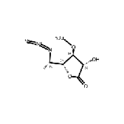 CCCCO[C@@H]1[C@@H]([C@H](C)N=[N+]=[N-])OC(=O)[C@H]1O